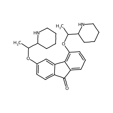 CC(Oc1ccc2c(c1)-c1c(OC(C)C3CCCCN3)cccc1C2=O)C1CCCCN1